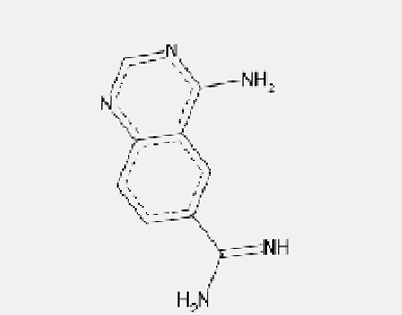 N=C(N)c1ccc2ncnc(N)c2c1